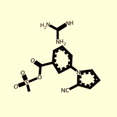 CS(=O)(=O)OC(=O)c1cccc(-n2cccc2C#N)c1.N=C(N)N